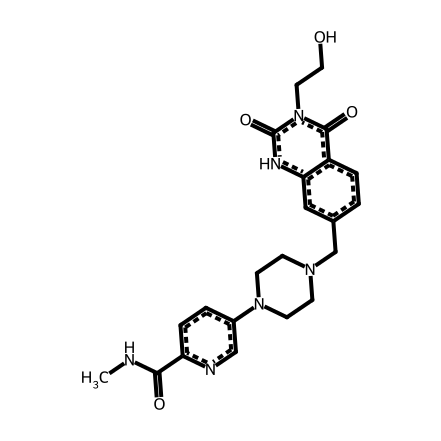 CNC(=O)c1ccc(N2CCN(Cc3ccc4c(=O)n(CCO)c(=O)[nH]c4c3)CC2)cn1